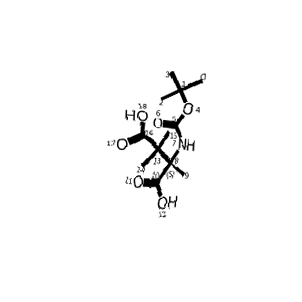 CC(C)(C)OC(=O)N[C@](C)(C(=O)O)C(C)(C)C(=O)O